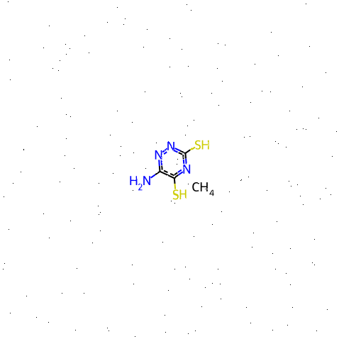 C.Nc1nnc(S)nc1S